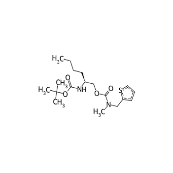 CCCC[C@@H](COC(=O)N(C)Cc1cccs1)NC(=O)OC(C)(C)C